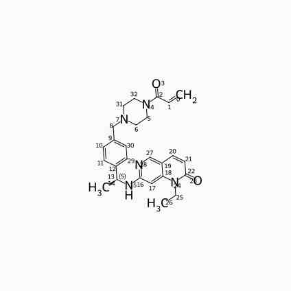 C=CC(=O)N1CCN(Cc2ccc([C@H](C)Nc3cc4c(ccc(=O)n4CC)cn3)cc2)CC1